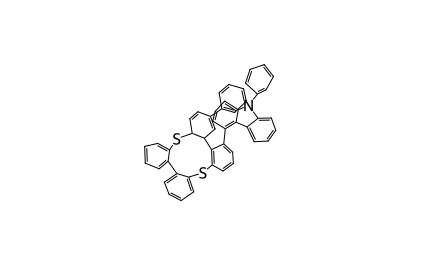 C1=CC2Sc3ccccc3-c3ccccc3Sc3cccc(-c4cccc5c4c4ccccc4n5-c4ccccc4)c3C2C=C1c1ccccc1